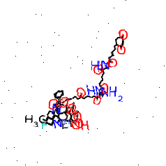 CCC1(O)C(=O)OCC2=C1/C=C1\CCC(Cc3c1nc1cc(F)c(C)c4c1c3C(N(C)C(=O)[C@H](OCCCCC(=O)CCCCC(=O)[C@H](CN)NC(=O)CCCCC(=O)CNC(=O)CCCCCC1CCC(=O)C=CC1=O)c1ccccc1)CC4)C2=O